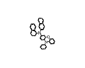 c1ccc(N2c3ccccc3Oc3cc(N(c4ccc5ccccc5c4)c4cccc5ccccc45)ccc32)cc1